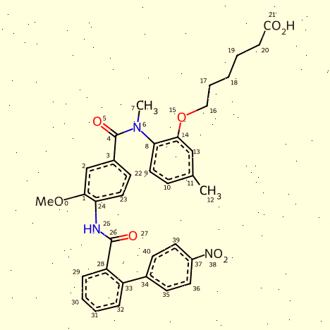 COc1cc(C(=O)N(C)c2ccc(C)cc2OCCCCCC(=O)O)ccc1NC(=O)c1ccccc1-c1ccc([N+](=O)[O-])cc1